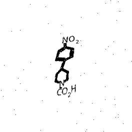 O=C(O)N1CCC(c2ccc([N+](=O)[O-])cc2)CC1